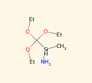 CCOC(OCC)(OCC)[SiH](C)N